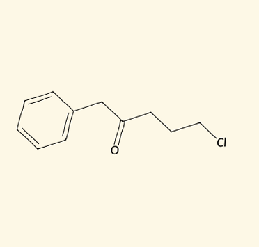 O=C(CCCCl)Cc1ccccc1